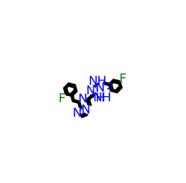 N=C(/N=C(/N)NCc1cccc(F)c1)c1cn2ccnc2c(Cc2ccccc2F)n1